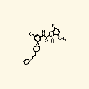 Cc1ccc(F)c2c1NC(C(=O)Nc1cc(Cl)cc(N3CCC(CCCN4CCCC4)CC3)c1)C2